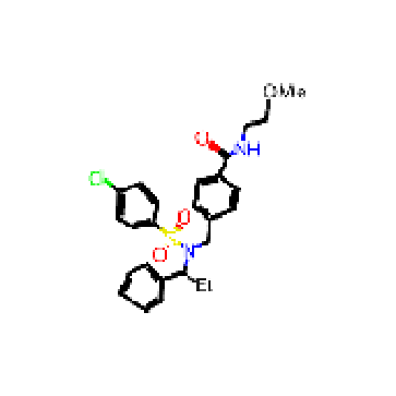 CC[C@@H](c1ccccc1)N(Cc1ccc(C(=O)NCCOC)cc1)S(=O)(=O)c1ccc(Cl)cc1